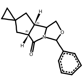 O=C1[C@@H]2CC3(CC3)C[C@@H]2C2COC(c3ccccc3)N12